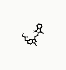 Cn1cc(CCN2C(=O)c3ccccc3C2=O)c2cc(CNC=O)ccc21